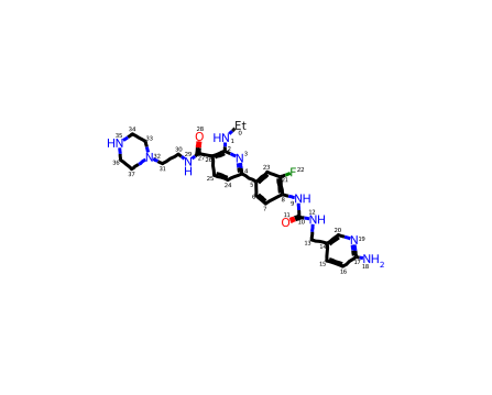 CCNc1nc(-c2ccc(NC(=O)NCc3ccc(N)nc3)c(F)c2)ccc1C(=O)NCCN1CCNCC1